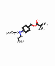 C=C(C)C(=O)OCc1ccc(N(CCOC)CCOC)cc1